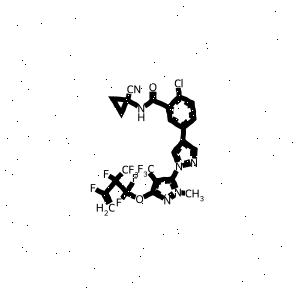 C=C(F)C(F)(C(F)(F)F)C(F)(F)Oc1nn(C)c(-n2cc(-c3ccc(Cl)c(C(=O)NC4(C#N)CC4)c3)cn2)c1C(F)(F)F